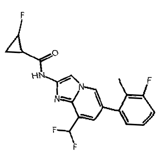 Cc1c(F)cccc1-c1cc(C(F)F)c2nc(NC(=O)C3CC3F)cn2c1